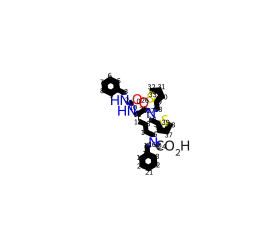 O=C(NCc1ccccc1)N[C@@H](CCCCN(Cc1ccccc1)C(=O)O)C(=O)N(Cc1cccs1)Cc1cccs1